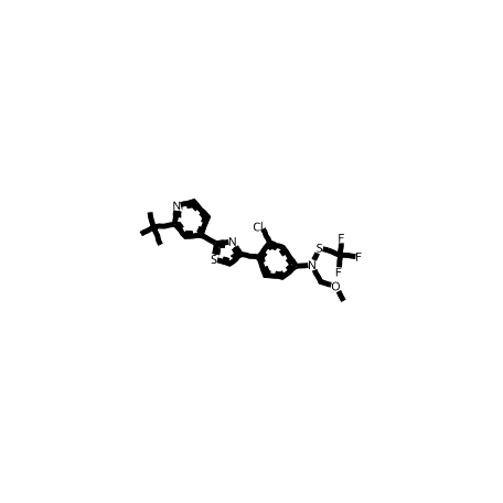 COCN(SC(F)(F)F)c1ccc(-c2csc(-c3ccnc(C(C)(C)C)c3)n2)c(Cl)c1